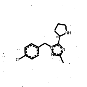 Cc1nc([C@H]2CCCN2)n(Cc2ccc(Cl)cc2)n1